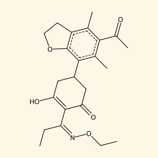 CCO/N=C(/CC)C1=C(O)CC(c2c(C)c(C(C)=O)c(C)c3c2OCC3)CC1=O